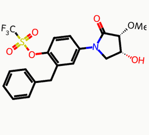 CO[C@H]1C(=O)N(c2ccc(OS(=O)(=O)C(F)(F)F)c(Cc3ccccc3)c2)C[C@H]1O